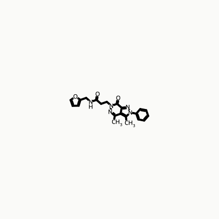 Cc1nn(CCC(=O)NCc2ccco2)c(=O)c2nn(-c3ccccc3)c(C)c12